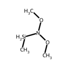 CON(OC)[SiH2]C